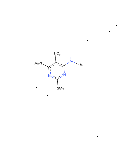 CCC(C)Nc1nc(SC)nc(NC)c1[N+](=O)[O-]